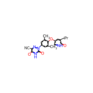 Cc1cc(-n2nc(C#N)c(=O)[nH]c2=O)cc(C)c1Oc1c[nH]c(=O)c(C(C)C)c1